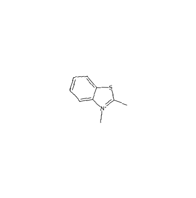 Cc1sc2ccccc2[n+]1C